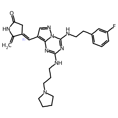 C=C1NC(=O)C/C1=C\c1cnn2c(NCCc3cccc(F)c3)nc(NCCCN3CCCC3)nc12